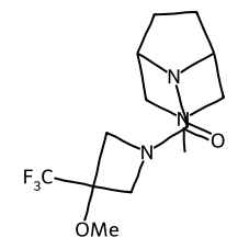 COC1(C(F)(F)F)CN(C(=O)N2C3CCC2CN(C)C3)C1